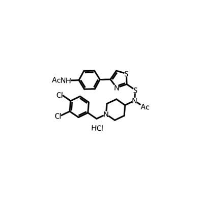 CC(=O)Nc1ccc(-c2csc(SN(C(C)=O)C3CCN(Cc4ccc(Cl)c(Cl)c4)CC3)n2)cc1.Cl